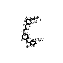 CC(C)Oc1ccc(Br)c(CC2CCN(CCCC3CCC(NC(=O)C(F)(F)F)CC3)CC2)c1